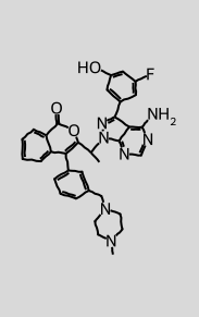 CC(c1oc(=O)c2ccccc2c1-c1cccc(CN2CCN(C)CC2)c1)n1nc(-c2cc(O)cc(F)c2)c2c(N)ncnc21